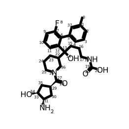 Cc1cccc(-c2c(F)cccc2C(O)(CCCNC(=O)O)C2CCCN(C(=O)[C@H]3C[C@@H](N)[C@@H](O)C3)C2)c1